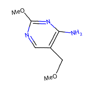 COCc1cnc(OC)nc1N